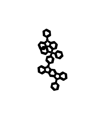 c1ccc(C2c3ccccc3-c3cc4c(cc32)c2ccccc2n4-c2ccc([Si](c3ccccc3)(c3ccccc3)c3cccc4c3c3ccccc3n4-c3ccccc3)cc2)cc1